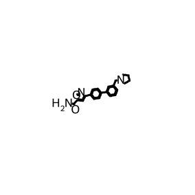 NC(=O)c1cc(-c2ccc(-c3cccc(CN4CCCC4)c3)cc2)no1